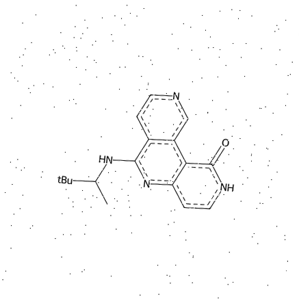 CC(Nc1nc2cc[nH]c(=O)c2c2cnccc12)C(C)(C)C